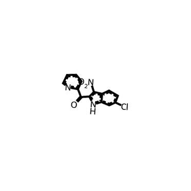 O=C(c1ccccn1)c1[nH]c2cc(Cl)ccc2c1[N+](=O)[O-]